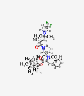 CC1(C)[C@@H]2C[C@H]3OB([C@H](Cc4ccccc4)N(C(=O)O)C4(C)CCCN(C(=O)C(C#N)=CC(C)(C)N5CCC(F)(F)C5)C4)O[C@@]3(C)[C@H]1C2